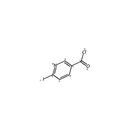 O=C(Cl)c1ccc(I)nc1